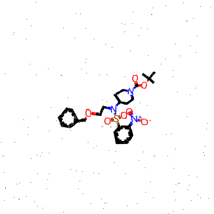 CC(C)(C)OC(=O)N1CCC(N(CCOCc2ccccc2)S(=O)(=O)c2ccccc2[N+](=O)[O-])CC1